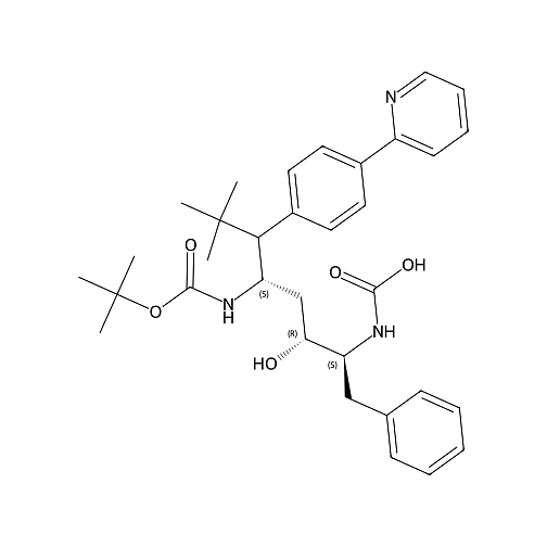 CC(C)(C)OC(=O)N[C@@H](C[C@@H](O)[C@H](Cc1ccccc1)NC(=O)O)C(c1ccc(-c2ccccn2)cc1)C(C)(C)C